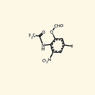 O=COc1cc(F)cc([N+](=O)[O-])c1NC(=O)C(F)(F)F